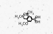 COc1cc(B(O)O)cc(OC)c1CN(C)C